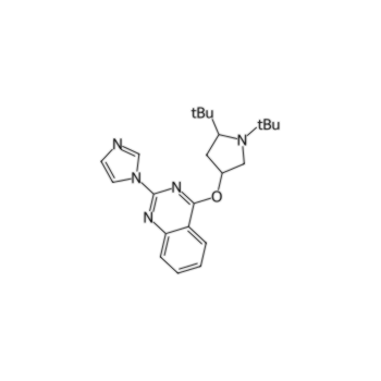 CC(C)(C)C1CC(Oc2nc(-n3ccnc3)nc3ccccc23)CN1C(C)(C)C